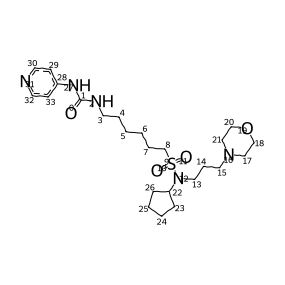 O=C(NCCCCCCS(=O)(=O)N(CCCN1CCOCC1)C1CCCC1)Nc1ccncc1